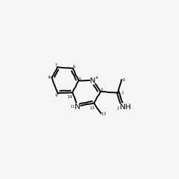 CC(=N)c1nc2ccccc2nc1C